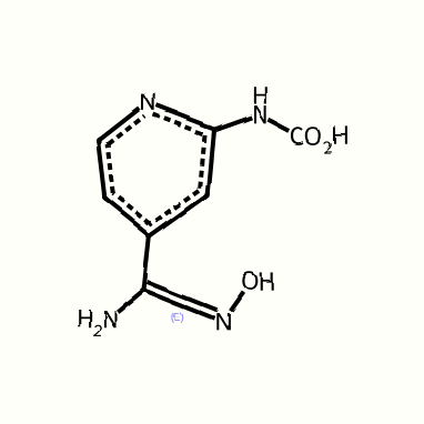 N/C(=N/O)c1ccnc(NC(=O)O)c1